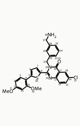 COc1ccc(-c2ccc(-c3nc4ccc(Cl)cc4c(=O)n3Cc3cccc(CN)c3)s2)c(OC)c1